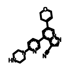 N#Cc1cnn2cc(C3=CCOCC3)cc(-c3ccc(N4CCNCC4)nc3)c12